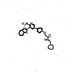 Nc1ncc(-c2ccc(OCC(=O)NCC3CCCCC3)cc2)cc1-c1nc2ccccc2s1